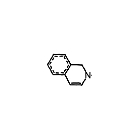 C1=Cc2ccccc2C[N]1